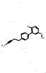 CC#CCCc1ccc(-c2cc(OC(C)C)ccc2F)cc1